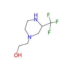 OCCN1CCNC(C(F)(F)F)C1